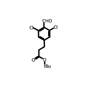 CC(C)(C)OC(=O)CCc1cc(Cl)c(C=O)c(Cl)c1